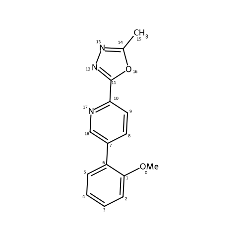 COc1ccccc1-c1ccc(-c2nnc(C)o2)nc1